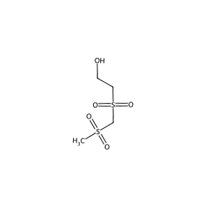 CS(=O)(=O)CS(=O)(=O)CCO